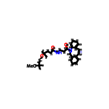 COC(C)(C)CCOC(C)(C)CCC(=O)NCCC(=O)N1Cc2ccccc2/C=C\c2ccccc21